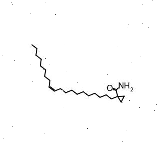 CCCCCCCC/C=C\CCCCCCCCCCC1(C(N)=O)CC1